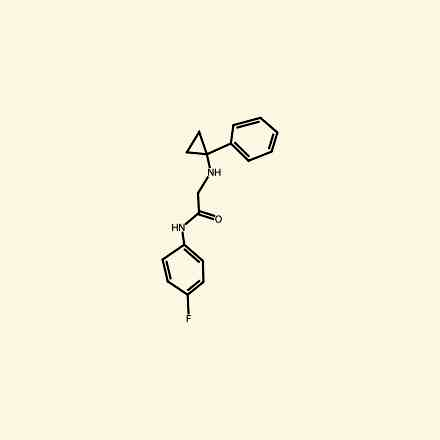 O=C(CNC1(c2ccccc2)CC1)Nc1ccc(F)cc1